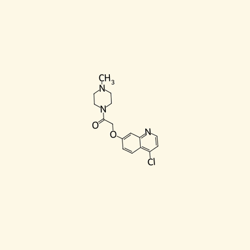 CN1CCN(C(=O)COc2ccc3c(Cl)ccnc3c2)CC1